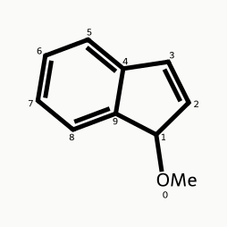 COC1C=Cc2ccccc21